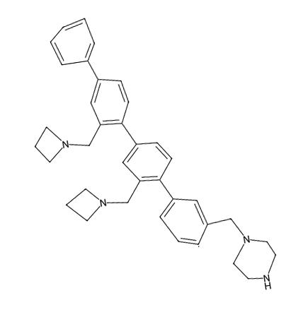 [c]1ccc(-c2ccc(-c3ccc(-c4ccccc4)cc3CN3CCC3)cc2CN2CCC2)cc1CN1CCNCC1